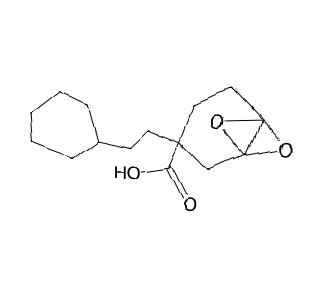 O=C(O)C1(CCC2CCCCC2)CCC23OC2(C1)O3